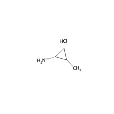 CC1C[C@H]1N.Cl